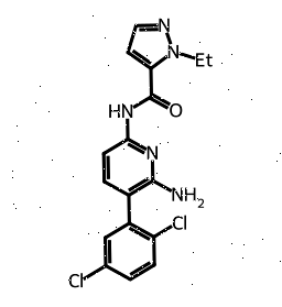 CCn1nccc1C(=O)Nc1ccc(-c2cc(Cl)ccc2Cl)c(N)n1